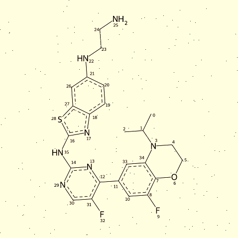 CC(C)N1CCOc2c(F)cc(-c3nc(Nc4nc5ccc(NCCN)cc5s4)ncc3F)cc21